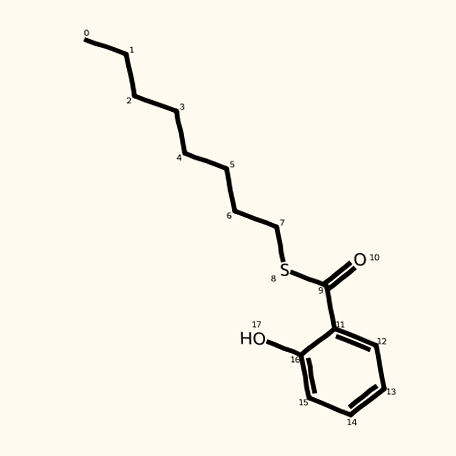 CCCCCCCCSC(=O)c1ccccc1O